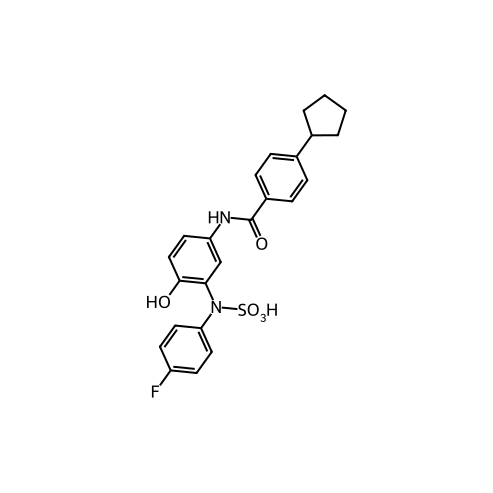 O=C(Nc1ccc(O)c(N(c2ccc(F)cc2)S(=O)(=O)O)c1)c1ccc(C2CCCC2)cc1